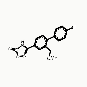 COCc1cc(C2=NOS(=O)N2)ccc1-c1ccc(Cl)cc1